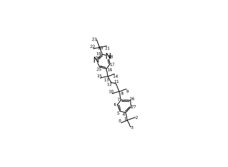 CC(C)(C)c1ccc(C(C)(C)CCC(C)(C)c2cnc(C(C)(C)C)nc2)cc1